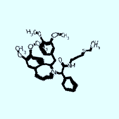 CCSCCNC(=O)C(c1ccccc1)N1CCCc2cc(OC)c(OC)cc2C1Cc1ccc(OC)c(OC)c1